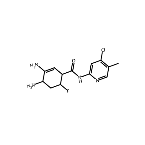 Cc1cnc(NC(=O)C2C=C(N)C(N)CC2F)cc1Cl